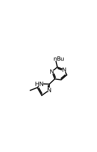 CCCCc1nccc(-c2ncc(C)[nH]2)n1